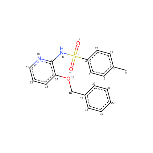 Cc1ccc(S(=O)(=O)Nc2ncccc2OCc2ccccc2)cc1